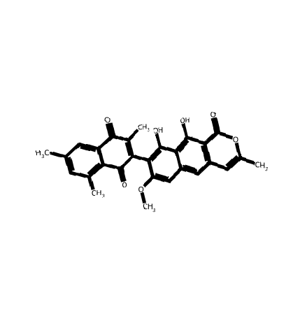 COc1cc2cc3cc(C)oc(=O)c3c(O)c2c(O)c1C1=C(C)C(=O)c2cc(C)cc(C)c2C1=O